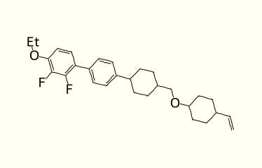 C=CC1CCC(OCC2CCC(c3ccc(-c4ccc(OCC)c(F)c4F)cc3)CC2)CC1